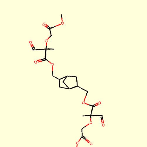 COC(=O)COC(C)(C=O)C(=O)OCC1CC2CC1CC2COC(=O)C(C)(C=O)OCC(=O)OC